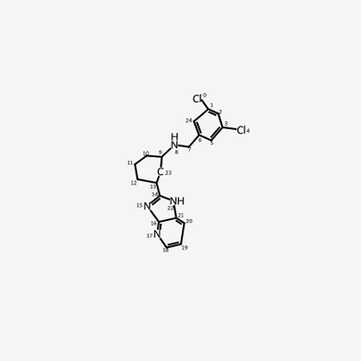 Clc1cc(Cl)cc(CNC2CCCC(c3nc4ncccc4[nH]3)C2)c1